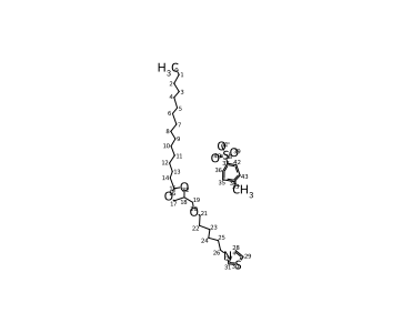 CCCCCCCCCCCCCCCC1OCC(COCCCCCC[n+]2ccsc2)O1.Cc1ccc(S(=O)(=O)[O-])cc1